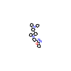 c1ccc(-n2c3ccccc3c3ccc(-c4cccc5c4c4ccccc4n5-c4cccc(-c5ncnc6c5oc5ccccc56)c4)cc32)cc1